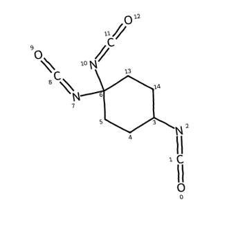 O=C=NC1CCC(N=C=O)(N=C=O)CC1